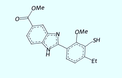 CCc1ccc(-c2nc3cc(C(=O)OC)ccc3[nH]2)c(OC)c1S